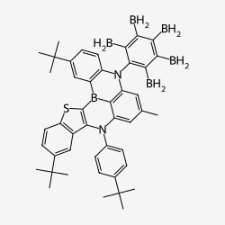 Bc1c(B)c(B)c(N2c3ccc(C(C)(C)C)cc3B3c4sc5ccc(C(C)(C)C)cc5c4N(c4ccc(C(C)(C)C)cc4)c4cc(C)cc2c43)c(B)c1B